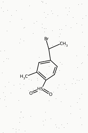 Cc1cc(C(C)Br)ccc1[SH](=O)=O